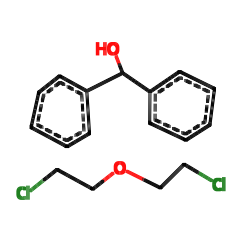 ClCCOCCCl.OC(c1ccccc1)c1ccccc1